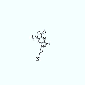 COC(=O)c1nc2c(I)cn(COCCS(C)(C)C)c2nc1N